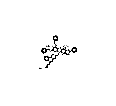 COC(=O)CCCCCCCCO[C@H]1O[C@@H]2COC(c3ccccc3)O[C@H]2[C@H](OC(C)=O)[C@H]1O[C@H]1O[C@H](COCc2ccccc2)[C@@H](OCc2ccccc2)[C@H](OC)[C@H]1OCc1ccccc1